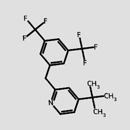 CC(C)(C)c1ccnc(Cc2cc(C(F)(F)F)cc(C(F)(F)F)c2)c1